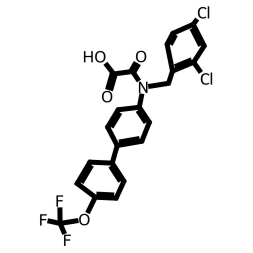 O=C(O)C(=O)N(Cc1ccc(Cl)cc1Cl)c1ccc(-c2ccc(OC(F)(F)F)cc2)cc1